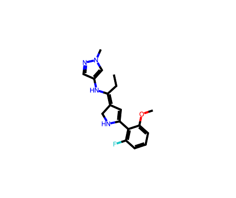 CC/C(Nc1cnn(C)c1)=C1\C=C(c2c(F)cccc2OC)NC1